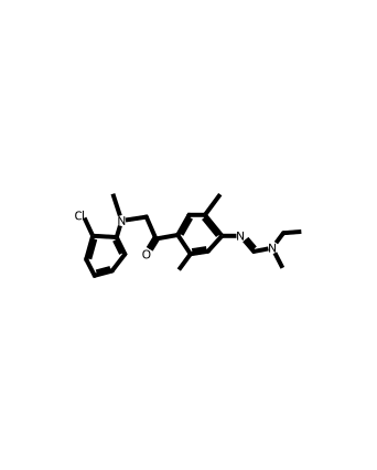 CCN(C)C=Nc1cc(C)c(C(=O)CN(C)c2ccccc2Cl)cc1C